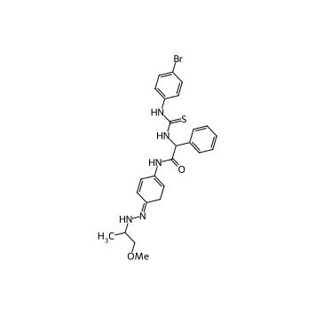 COCC(C)NN=C1C=CC(NC(=O)C(NC(=S)Nc2ccc(Br)cc2)c2ccccc2)=CC1